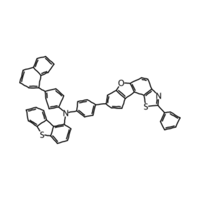 c1ccc(-c2nc3ccc4oc5cc(-c6ccc(N(c7ccc(-c8cccc9ccccc89)cc7)c7cccc8sc9ccccc9c78)cc6)ccc5c4c3s2)cc1